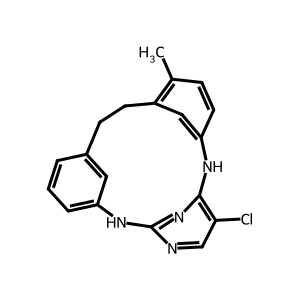 Cc1ccc2cc1CCc1cccc(c1)Nc1ncc(Cl)c(n1)N2